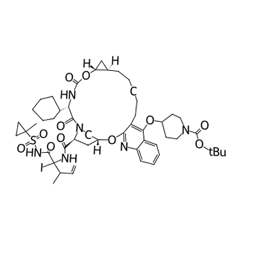 C=CC(C)C(I)(NC(=O)[C@@H]1C[C@@H]2CN1C(=O)[C@H](C1CCCCC1)NC(=O)O[C@@H]1C[C@H]1CCCCCc1c(nc3ccccc3c1OC1CCN(C(=O)OC(C)(C)C)CC1)O2)C(=O)NS(=O)(=O)C1(C)CC1